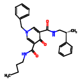 CCCCNC(=O)c1cn(Cc2ccccc2)cc(C(=O)NC[C@H](C)c2ccccc2)c1=O